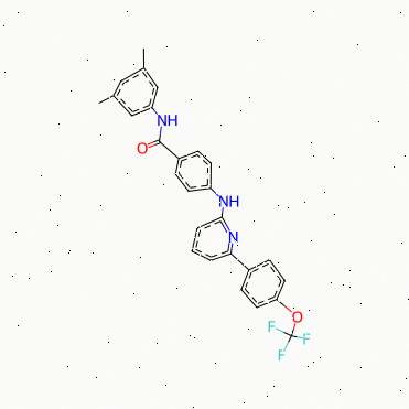 Cc1cc(C)cc(NC(=O)c2ccc(Nc3cccc(-c4ccc(OC(F)(F)F)cc4)n3)cc2)c1